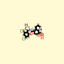 C[C@@H](NC(=O)[C@]1(F)CC[C@@](O)(CO)c2ncccc21)c1ccc(Cl)cc1Cl